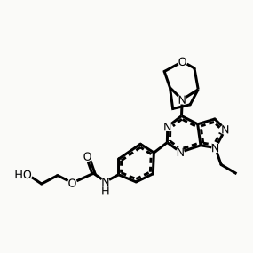 CCn1ncc2c(N3C4CCC3COC4)nc(-c3ccc(NC(=O)OCCO)cc3)nc21